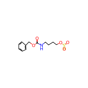 O=C(NCCCCO[SH](=O)=O)OCc1ccccc1